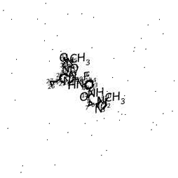 Cc1ccnc([C@H]2C[C@@H]2C(=O)Nc2ccc(F)c(NCc3cn4cc(C5CC5)cc(N5CC(=O)N(C)C5=O)c4n3)c2)n1